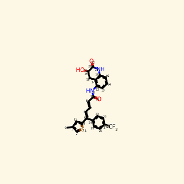 Cc1csc(C(=CC=CC(=O)Nc2cccc3c2CC(O)C(=O)N3)c2ccc(C(F)(F)F)cc2)c1